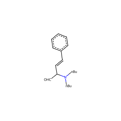 CCCCN(CCCC)C(C=O)/C=C/c1ccccc1